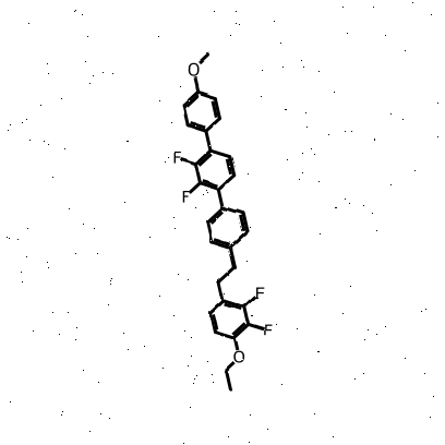 CCOc1ccc(CCc2ccc(-c3ccc(-c4ccc(OC)cc4)c(F)c3F)cc2)c(F)c1F